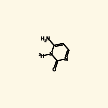 [2H]n1c(N)ccnc1=O